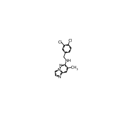 Cc1cc2nccn2nc1NCc1ccc(Cl)c(Cl)c1